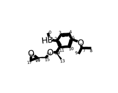 CBc1ccc(OC(C)C)cc1[C@@H](C)OC[C@H]1CO1